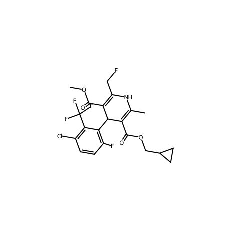 COC(=O)C1=C(CF)NC(C)=C(C(=O)OCC2CC2)C1c1c(F)ccc(Cl)c1C(F)(F)F